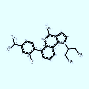 CCC(CC)n1ccc2c(C)nc3c(-c4ccc(C(C)C)cc4Br)cccc3c21